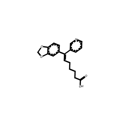 O=C(O)CCCCC=C(c1cccnc1)c1ccc2c(c1)OCO2